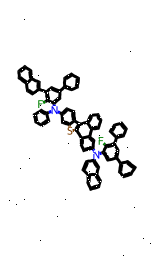 Fc1c(-c2ccc3ccccc3c2)cc(-c2ccccc2)cc1N(c1ccccc1)c1ccc2c(c1)sc1c3ccc(N(c4ccc5ccccc5c4)c4cc(-c5ccccc5)cc(-c5ccccc5)c4F)cc3c3ccccc3c21